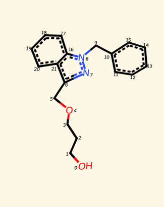 OCCCOCc1nn(Cc2ccccc2)c2ccccc12